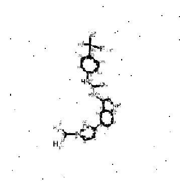 CC(C)n1ccc(-c2ccc3[nH]cc(NC(=O)Nc4ccc(C(F)(F)F)cc4)c3c2)n1